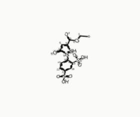 CCOC(=O)c1cc(=O)n(-c2ccc(S(=O)(=O)O)cc2S(=O)(=O)O)[nH]1